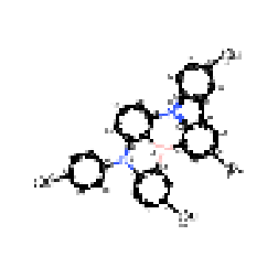 CC(C)(C)c1ccc(N2c3ccc(C(C)(C)C)cc3B3c4c2cccc4-n2c4ccc(C(C)(C)C)cc4c4cc(C(C)(C)C)cc3c42)cc1